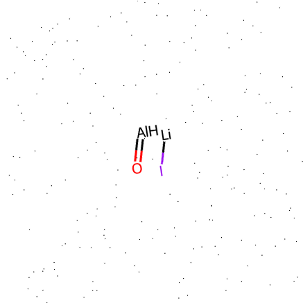 [Li][I].[O]=[AlH]